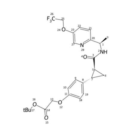 C[C@@H](NC(=O)[C@H]1C[C@@H]1c1ccc(OCC(=O)OC(C)(C)C)cc1)c1ccc(OCC(F)(F)F)cn1